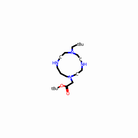 CC(C)(C)CN1CCNCCCN(CC(=O)OC(C)(C)C)CCNCC1